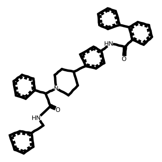 O=C(Nc1ccc(C2CCN(C(C(=O)NCc3ccccc3)c3ccccc3)CC2)cc1)c1ccccc1-c1ccccc1